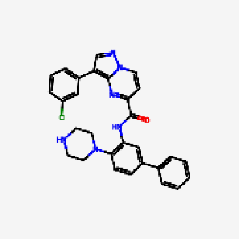 O=C(Nc1cc(-c2ccccc2)ccc1N1CCNCC1)c1ccn2ncc(-c3cccc(Cl)c3)c2n1